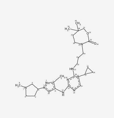 Cc1nn(C2CCN(C)C2)cc1Nc1ncc(C2CC2)c(NCCCN2CCC(C)(C)COC2=O)n1